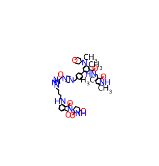 CCN(c1cc(-c2ccc(CN3CCN(C(=O)c4cn(CCCCCNc5cccc6c5C(=O)N(C5CCC(=O)NC5=O)C6=O)nn4)CC3)cc2)cc(C(=O)NCc2c(C)cc(C)[nH]c2=O)c1C)C1CCOCC1